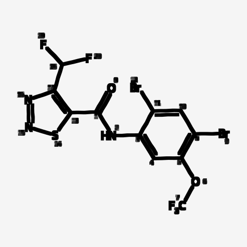 O=C(Nc1cc(OC(F)(F)F)c(Br)cc1Br)c1snnc1C(F)F